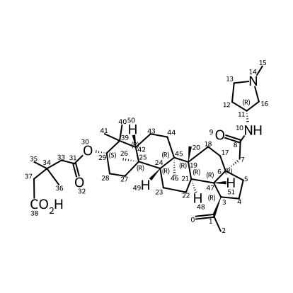 C=C(C)[C@@H]1CC[C@]2(CC(=O)N[C@@H]3CCN(C)C3)CC[C@]3(C)[C@H](CC[C@@H]4[C@@]5(C)CC[C@H](OC(=O)CC(C)(C)CC(=O)O)C(C)(C)[C@@H]5CC[C@]43C)[C@@H]12